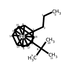 CCC[C]12[CH]3[CH]4[CH]5[C]1(C(C)(C)C)[Fe]43521678[CH]2[CH]1[CH]6[CH]7[CH]28